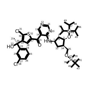 CC(C)[Si](O[C@H]1C[C@H](Nc2ncncc2C(=O)c2cc([C@](C)(O)c3cccc(Cl)c3)c(Cl)s2)C[C@@H]1CO[Si](C)(C)C(C)(C)C)(C(C)C)C(C)C